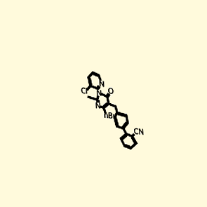 CCCCc1nc(C)n(-c2ncccc2Cl)c(=O)c1Cc1ccc(-c2ccccc2C#N)cc1